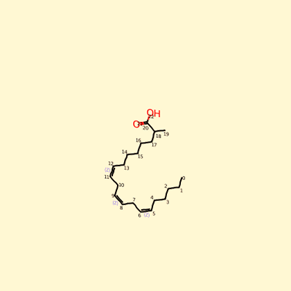 CCCCC/C=C\C/C=C\C/C=C\CCCCCC(C)C(=O)O